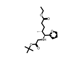 CCOC(=O)CC[C@@H](C)[C@H](NCC(=O)OC(C)(C)C)c1ccco1